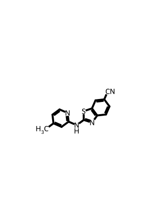 Cc1ccnc(Nc2nc3ccc(C#N)cc3s2)c1